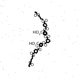 C=CC(=O)OCCCCOC(=O)C1CCC(C(=O)Oc2ccc(OC(=O)C3CCCC(C(=O)Oc4ccc(OC(=O)C5CCC(C(=O)OCCCCOC(=O)C=C)CC5)c(C(=O)O)c4)C3)cc2C(=O)O)CC1